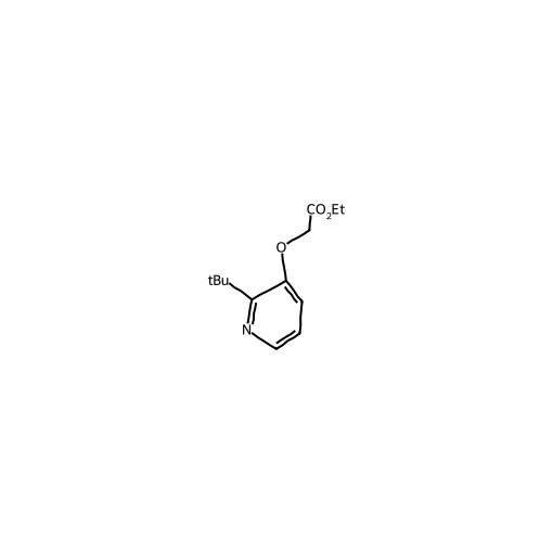 CCOC(=O)COc1cccnc1C(C)(C)C